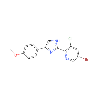 COc1ccc(-c2c[nH]c(-c3ncc(Br)cc3Cl)n2)cc1